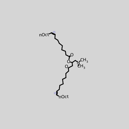 CCCCCCCC/C=C\CCCCCCCC(=O)CC(CN(C)C)OC(=O)CCCCCCC/C=C\CCCCCCCC